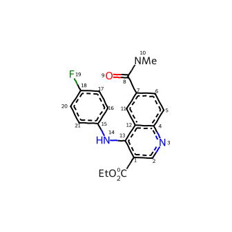 CCOC(=O)c1cnc2ccc(C(=O)NC)cc2c1Nc1ccc(F)cc1